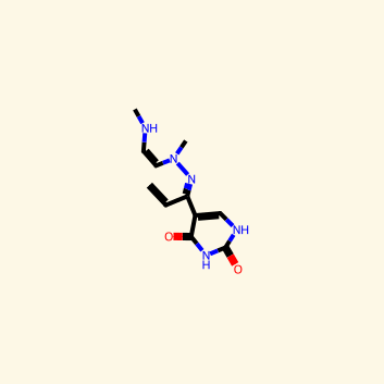 C=C/C(=N\N(C)/C=C\NC)c1c[nH]c(=O)[nH]c1=O